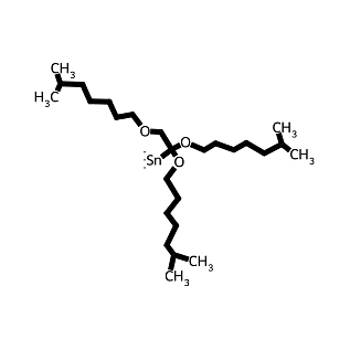 CC(C)CCCCCOC[C]([Sn])(OCCCCCC(C)C)OCCCCCC(C)C